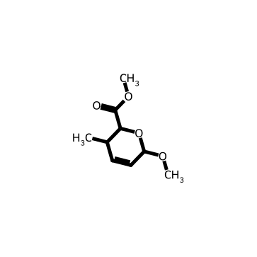 COC(=O)C1OC(OC)C=CC1C